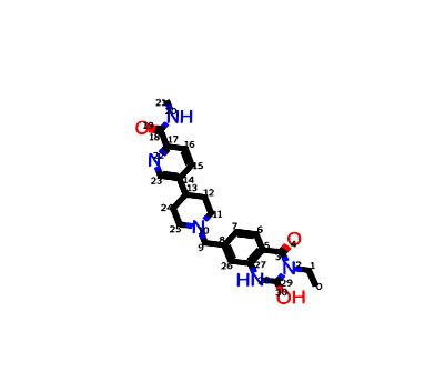 CCN1C(=O)c2ccc(CN3CCC(c4ccc(C(=O)NC)nc4)CC3)cc2NC1O